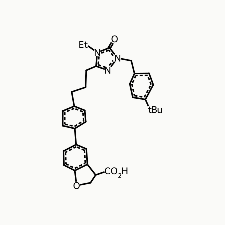 CCn1c(CCCc2ccc(-c3ccc4c(c3)C(C(=O)O)CO4)cc2)nn(Cc2ccc(C(C)(C)C)cc2)c1=O